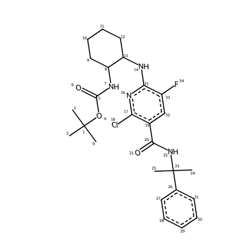 CC(C)(C)OC(=O)NC1CCCCC1Nc1nc(Cl)c(C(=O)NC(C)(C)c2ccccc2)cc1F